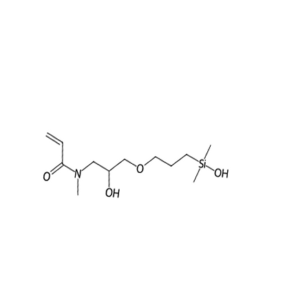 C=CC(=O)N(C)CC(O)COCCC[Si](C)(C)O